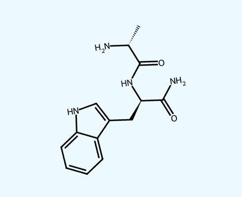 C[C@@H](N)C(=O)N[C@H](Cc1c[nH]c2ccccc12)C(N)=O